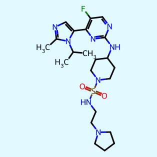 Cc1ncc(-c2nc(NC3CCN(S(=O)(=O)NCCN4CCCC4)CC3)ncc2F)n1C(C)C